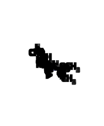 COC(=O)C1CN(C)CCN1C/C=C/C(=O)Nc1cc2c(Nc3ccc(F)c(Cl)c3)ncnc2cc1OCC1CC1